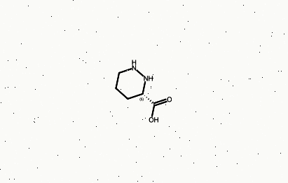 O=C(O)[C@@H]1CCCNN1